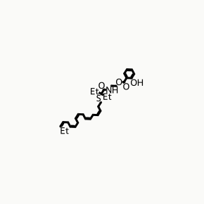 CC/C=C\C/C=C\C/C=C\C/C=C\C/C=C\CCSC(CC)(CC)C(=O)NCCOC(=O)c1ccccc1O